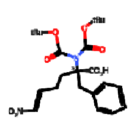 CC(C)(C)OC(=O)N(C(=O)OC(C)(C)C)[C@@](CCC=C[N+](=O)[O-])(Cc1ccccc1)C(=O)O